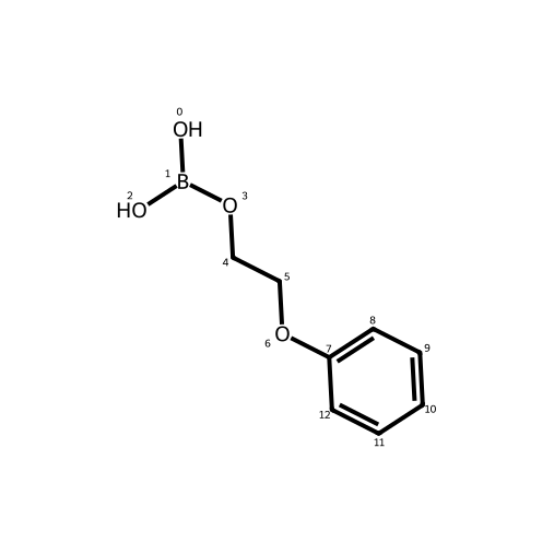 OB(O)OCCOc1ccccc1